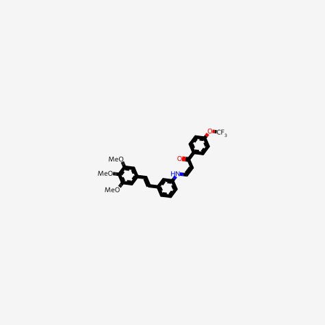 COc1cc(/C=C/c2cccc(N/C=C\C(=O)c3ccc(OC(F)(F)F)cc3)c2)cc(OC)c1OC